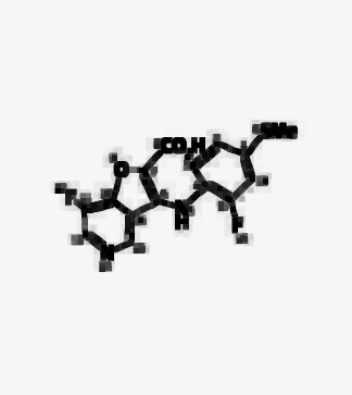 CSc1ccc(Nc2c(C(=O)O)oc3c(F)cncc23)c(F)c1